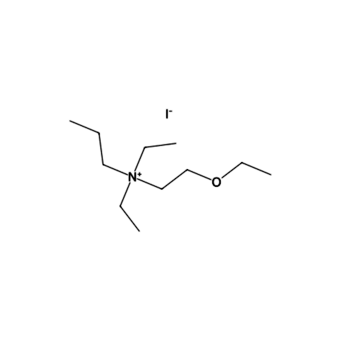 CCC[N+](CC)(CC)CCOCC.[I-]